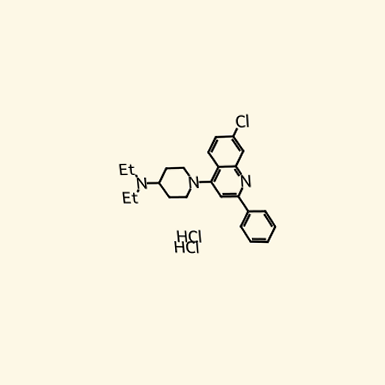 CCN(CC)C1CCN(c2cc(-c3ccccc3)nc3cc(Cl)ccc23)CC1.Cl.Cl